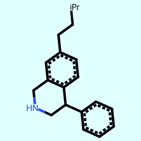 CC(C)CCc1ccc2c(c1)CNCC2c1ccccc1